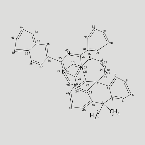 CC1(C)c2ccccc2C2(c3ccccc3Sc3ccccc32)c2c(-c3nc(-c4ccccc4)nc(-c4ccc5ccccc5c4)n3)cccc21